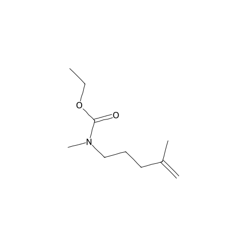 C=C(C)CCCN(C)C(=O)OCC